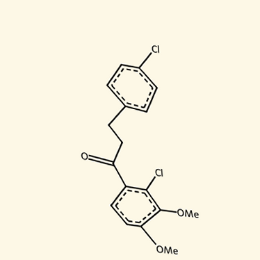 COc1ccc(C(=O)CCc2ccc(Cl)cc2)c(Cl)c1OC